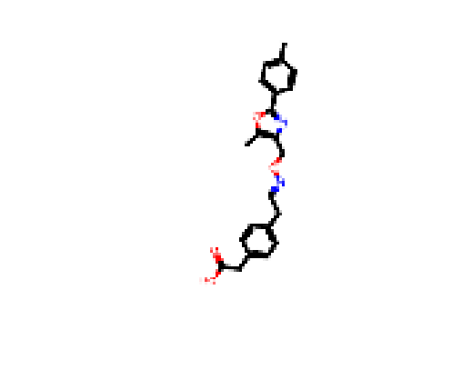 Cc1ccc(-c2nc(CON=CCc3ccc(CC(=O)O)cc3)c(C)o2)cc1